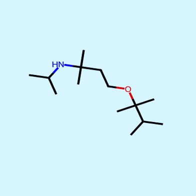 CC(C)NC(C)(C)CCOC(C)(C)C(C)C